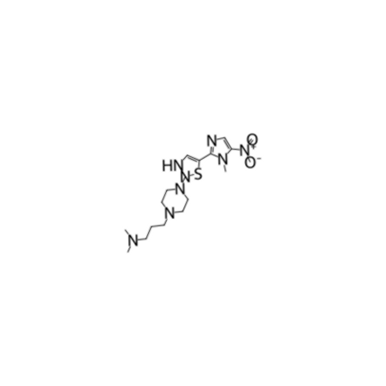 CN(C)CCCN1CCN(N2NC=C(c3ncc([N+](=O)[O-])n3C)S2)CC1